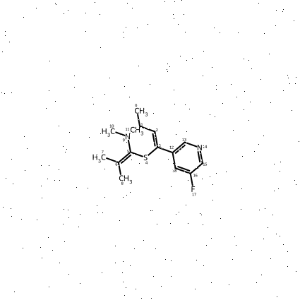 CC/C=C(\SC(=C(C)C)N(C)C)c1cncc(F)c1